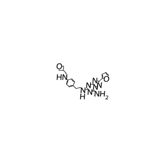 Nc1nc(NCCc2ccc(NCC3COC3)cc2)nc2nc(-c3ccco3)nn12